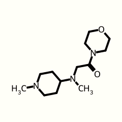 CN1CCC(N(C)CC(=O)N2CCOCC2)CC1